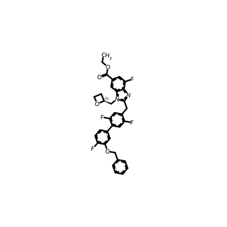 CCOC(=O)c1cc(F)c2nc(Cc3cc(F)c(-c4ccc(F)c(OCc5ccccc5)c4)cc3F)n(C[C@@H]3CCO3)c2c1